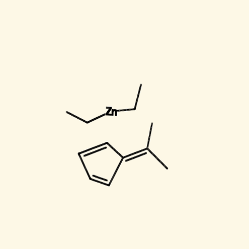 CC(C)=C1C=CC=C1.C[CH2][Zn][CH2]C